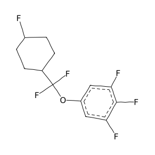 Fc1cc(OC(F)(F)C2CCC(F)CC2)cc(F)c1F